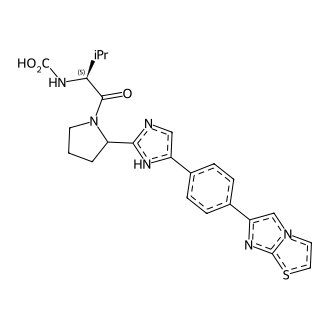 CC(C)[C@H](NC(=O)O)C(=O)N1CCCC1c1ncc(-c2ccc(-c3cn4ccsc4n3)cc2)[nH]1